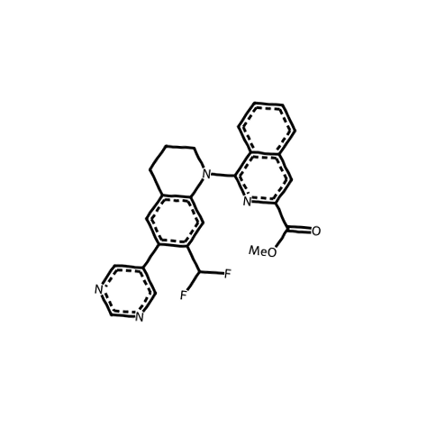 COC(=O)c1cc2ccccc2c(N2CCCc3cc(-c4cncnc4)c(C(F)F)cc32)n1